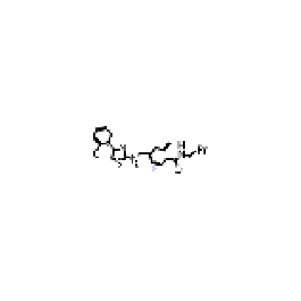 C=CCC(/C=C\CC(=O)NCC(C)C)CN(C)C1=NC([C@@H]2CC=CC=C2Cl)CS1